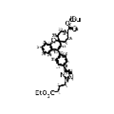 CCOC(=O)CCCn1nnc(-c2ccc(C3=CC4(CCN(C(=O)OC(C)(C)C)CC4)Oc4ccccc43)cc2)n1